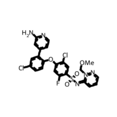 COCn1ncccc1=NS(=O)(=O)c1cc(Cl)c(Oc2ccc(Cl)cc2-c2ccnc(N)c2)cc1F